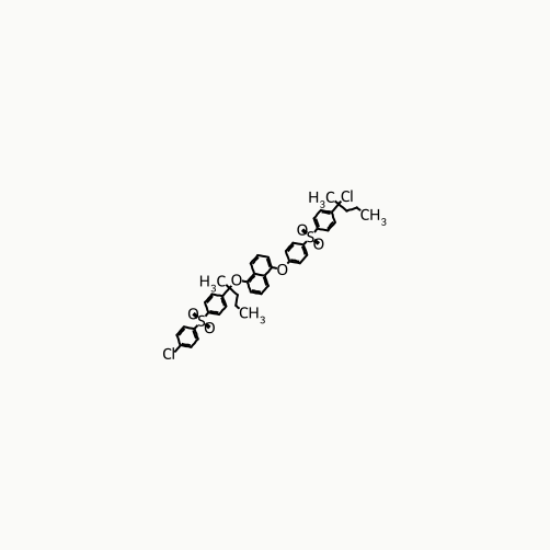 CCCC(C)(Cl)c1ccc(S(=O)(=O)c2ccc(Oc3cccc4c(OC(C)(CCC)c5ccc(S(=O)(=O)c6ccc(Cl)cc6)cc5)cccc34)cc2)cc1